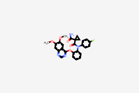 COc1cc2ncnc(Oc3ccccc3N(C(=O)C3(C(N)=O)CC3)c3ccc(F)cc3)c2cc1OC